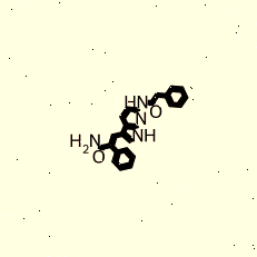 NC(=O)/C(=C/c1c[nH]c2nc(NC(=O)Cc3ccccc3)ccc12)c1ccccc1